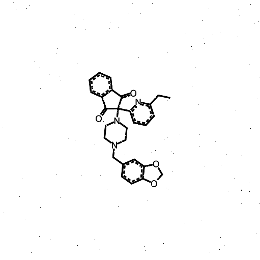 CCc1cccc(C2(N3CCN(Cc4ccc5c(c4)OCO5)CC3)C(=O)c3ccccc3C2=O)n1